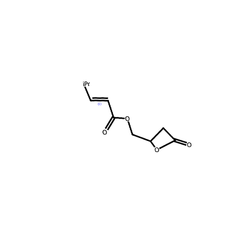 CC(C)/C=C/C(=O)OCC1CC(=O)O1